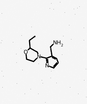 CCC1CN(c2ncccc2CN)CCO1